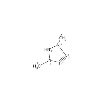 CN1C#[N+]N(C)N1